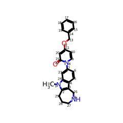 Cn1c2c(c3ccc(-n4ccc(OCc5ccccc5)cc4=O)cc31)CNCCC2